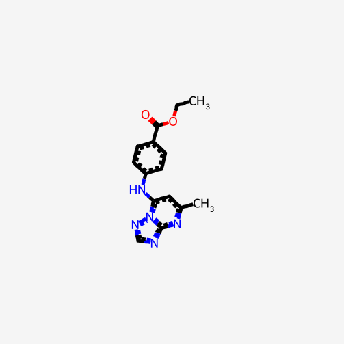 CCOC(=O)c1ccc(Nc2cc(C)nc3ncnn23)cc1